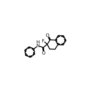 O=C(Nc1ccccc1)C1(F)CCc2ccccc2C1=O